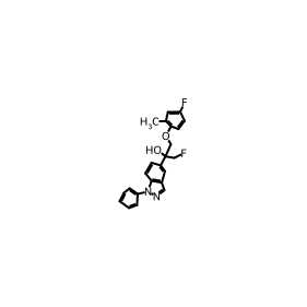 Cc1cc(F)ccc1OCC(O)(CF)c1ccc2c(cnn2-c2ccccc2)c1